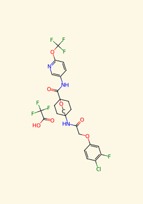 O=C(COc1ccc(Cl)c(F)c1)NC12CCC(C(=O)Nc3ccc(OC(F)(F)F)nc3)(CC1)OC2.O=C(O)C(F)(F)F